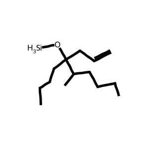 C=CCC(CCCC)(O[SiH3])C(C)CCCC